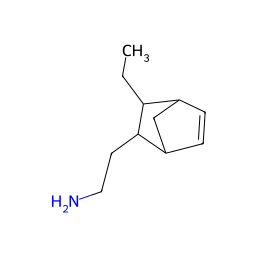 CCC1C2C=CC(C2)C1CCN